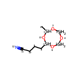 C[SiH]1O[SiH2]O[SiH2]O[SiH](CCCC#N)O1